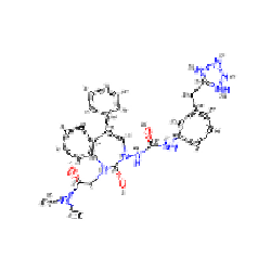 CCN(CC)C(=O)CN1C(=O)N(NC(=O)Nc2cccc(Cc3nnn[nH]3)c2)C=C(c2ccccc2)c2ccccc21